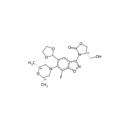 C[C@@H]1CN(c2c(C3OCCO3)cc3c(N4C(=O)OC[C@@H]4CO)noc3c2F)C[C@H](C)O1